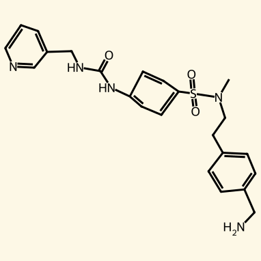 CN(CCc1ccc(CN)cc1)S(=O)(=O)c1ccc(NC(=O)NCc2cccnc2)cc1